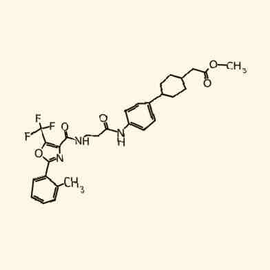 COC(=O)CC1CCC(c2ccc(NC(=O)CCNC(=O)c3nc(-c4ccccc4C)oc3C(F)(F)F)cc2)CC1